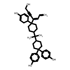 C=C/C=C(\C#CCO)C1(C2C=CC(O)=CC2)CCC(C(C)(C)C2CCC(c3ccc(O)cc3)(c3ccc(O)cc3)CC2)CC1